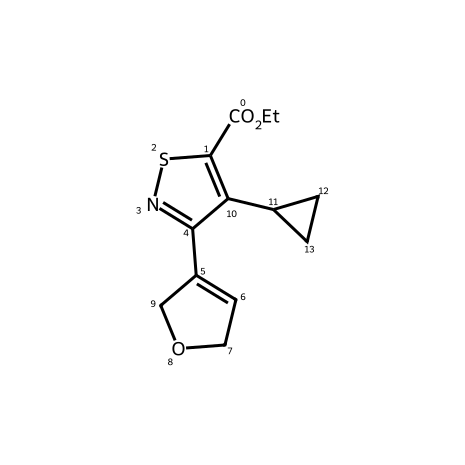 CCOC(=O)c1snc(C2=CCOC2)c1C1CC1